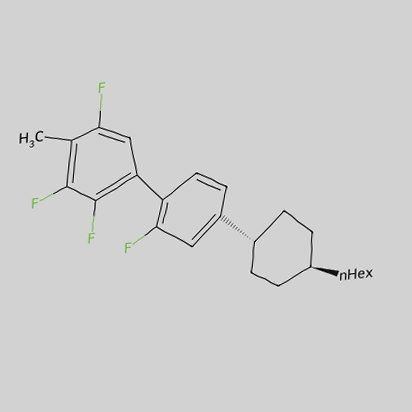 CCCCCC[C@H]1CC[C@H](c2ccc(-c3cc(F)c(C)c(F)c3F)c(F)c2)CC1